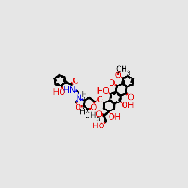 COc1cccc2c1C(=O)c1c(O)c3c(c(O)c1C2=O)C[C@@](O)(C(=O)CO)C[C@@H]3O[C@H]1C[C@H]2[C@H](OCN2CNC(=O)c2ccccc2O)[C@H](C)O1